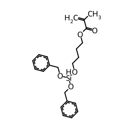 C=C(C)C(=O)OCCCCO[SiH](OCc1ccccc1)OCc1ccccc1